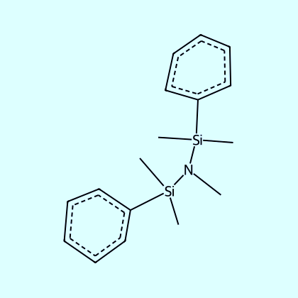 CN([Si](C)(C)c1ccccc1)[Si](C)(C)c1ccccc1